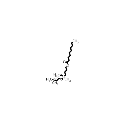 C=P(CC)(CCCCOC(=O)CCCCCCCCC)OCC[N+](C)(C)C